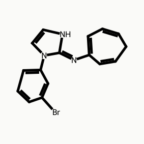 Brc1cccc(-n2cc[nH]/c2=N\C2=CC=CCC=C2)c1